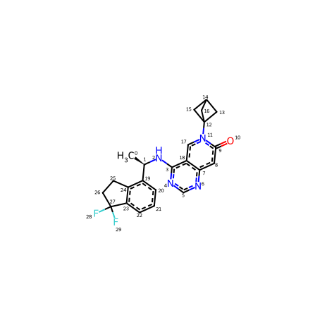 C[C@@H](Nc1ncnc2cc(=O)n(C34CC(C3)C4)cc12)c1cccc2c1CCC2(F)F